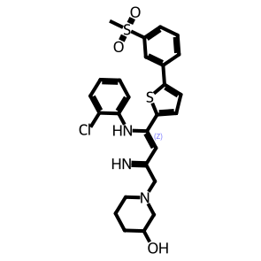 CS(=O)(=O)c1cccc(-c2ccc(/C(=C/C(=N)CN3CCCC(O)C3)Nc3ccccc3Cl)s2)c1